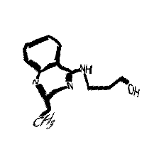 Cc1nc(NCCO)c2ccccc2n1